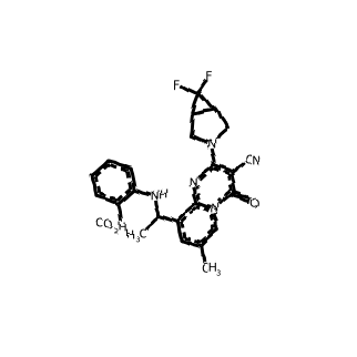 Cc1cc(C(C)Nc2ccccc2C(=O)O)c2nc(N3CC4C(C3)C4(F)F)c(C#N)c(=O)n2c1